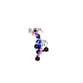 C[C@H]1CN(c2cccc3c(-c4ccc(OCc5ccccc5)nc4OCc4ccccc4)nn(C)c23)CCN1CC1CCN(C(=O)OC(C)(C)C)CC1